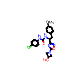 COc1ccc(CC(NC(=O)Nc2ccc(Cl)cc2)c2noc(N3CC(O)C3)n2)cc1